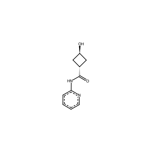 O=C(Nc1ccccn1)[C@H]1C[C@H](O)C1